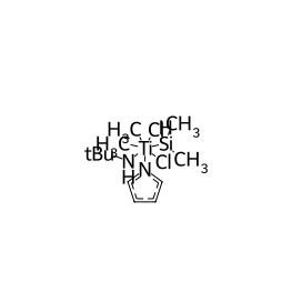 C[SiH](C)[Ti]([CH3])([CH3])([Cl])([Cl])([NH]C(C)(C)C)[n]1cccc1